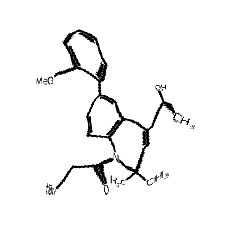 COc1ccccc1-c1ccc2c(c1)C(C(C)O)=CC(C)(C)N2C(=O)CC(C)(C)C